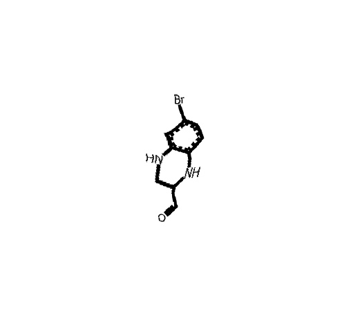 O=CC1CNc2cc(Br)ccc2N1